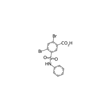 O=C(O)c1cc(S(=O)(=O)Nc2ccccc2)c(Br)cc1Br